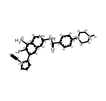 C#Cn1cccc1-c1cc2cc(NC(=O)c3ccc(N4CCN(C)CC4)cc3)ncc2c(N)c1F